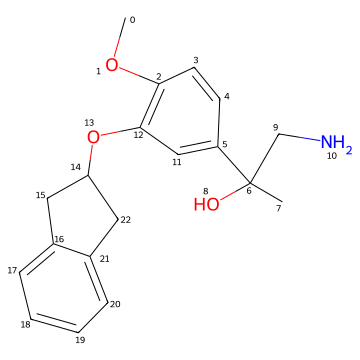 COc1ccc(C(C)(O)CN)cc1OC1Cc2ccccc2C1